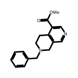 COC(=O)c1cncc2c1CCN(Cc1ccccc1)C2